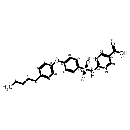 CCCCCc1ccc(Oc2ccc(S(=O)(=O)Nc3ncc(C(=O)O)cn3)cc2)cc1